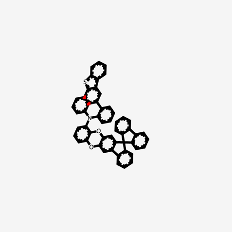 c1ccc(N(c2ccccc2-c2ccc3sc4ccccc4c3c2)c2cccc3c2Oc2cc4c(cc2O3)-c2ccccc2C42c3ccccc3-c3ccccc32)cc1